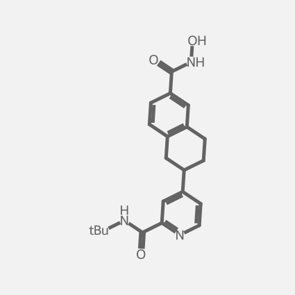 CC(C)(C)NC(=O)c1cc(C2CCc3cc(C(=O)NO)ccc3C2)ccn1